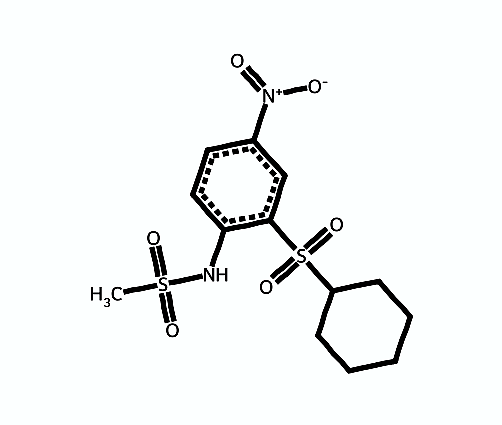 CS(=O)(=O)Nc1ccc([N+](=O)[O-])cc1S(=O)(=O)C1CCCCC1